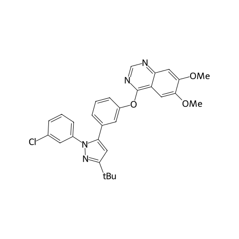 COc1cc2ncnc(Oc3cccc(-c4cc(C(C)(C)C)nn4-c4cccc(Cl)c4)c3)c2cc1OC